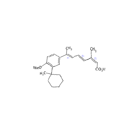 COc1ccc(/C(C)=C/C=C/C(C)=C\C(=O)O)cc1C1(C)CCCCC1